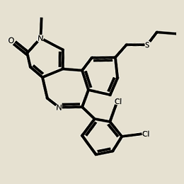 CCSCc1ccc2c(c1)-c1cn(C)c(=O)cc1CN=C2c1cccc(Cl)c1Cl